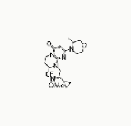 CON=C(CN1c2nc(N3CCOCC3C)cc(=O)n2CCC1C(F)(F)F)C1CC1